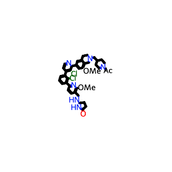 COc1cc(-c2nccc(-c3cccc(-c4ccc(CNC5CCC(=O)N5)c(OC)n4)c3Cl)c2Cl)cc2c1CN(CC1CCN(C(C)=O)CC1)CC2